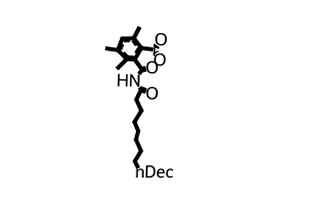 CCCCCCCCCCCCCCCCCC(=O)NC(=O)c1c(C)c(C)cc(C)c1I(=O)=O